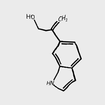 C=C(CO)c1ccc2cc[nH]c2c1